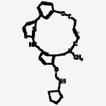 CN1C/C=C/CCOc2cccc(c2)-c2ccnc(n2)Nc2ccc(OCNC3CCCC3)c(c2)C1